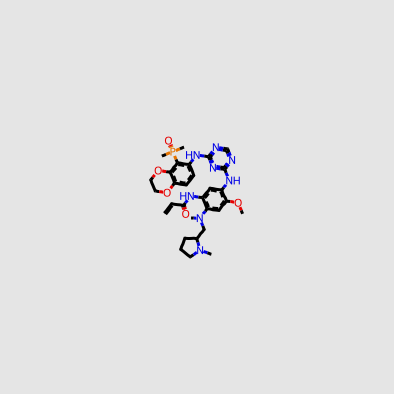 C=CC(=O)Nc1cc(Nc2ncnc(Nc3ccc4c(c3P(C)(C)=O)OCCO4)n2)c(OC)cc1N(C)CC1CCCN1C